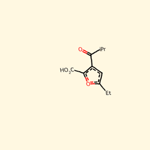 CCc1cc(C(=O)C(C)C)c(C(=O)O)o1